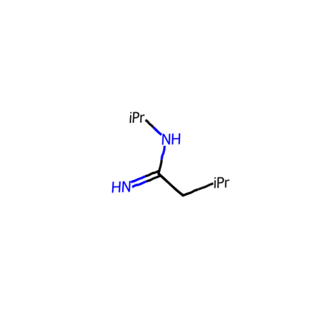 CC(C)CC(=N)NC(C)C